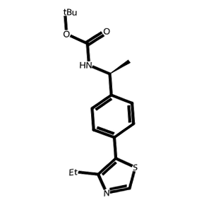 CCc1ncsc1-c1ccc([C@H](C)NC(=O)OC(C)(C)C)cc1